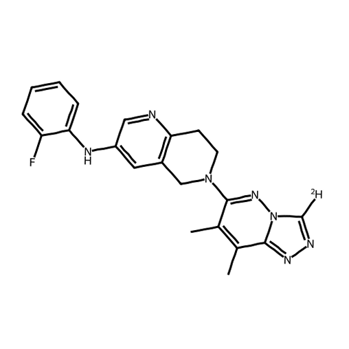 [2H]c1nnc2c(C)c(C)c(N3CCc4ncc(Nc5ccccc5F)cc4C3)nn12